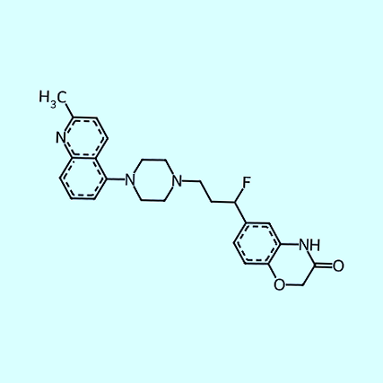 Cc1ccc2c(N3CCN(CCC(F)c4ccc5c(c4)NC(=O)CO5)CC3)cccc2n1